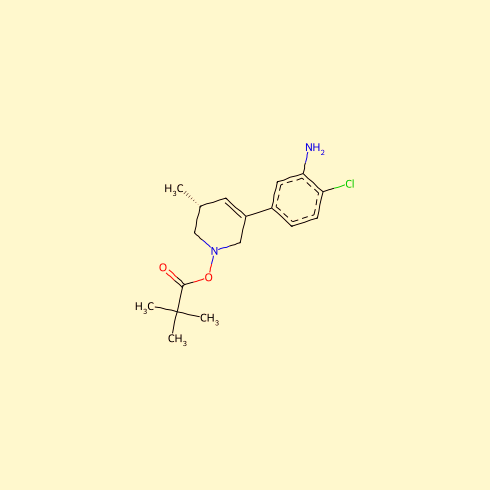 C[C@@H]1C=C(c2ccc(Cl)c(N)c2)CN(OC(=O)C(C)(C)C)C1